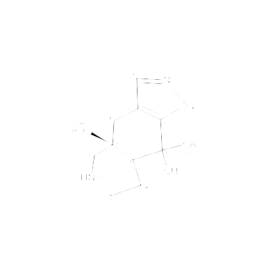 CC1(C)c2oncc2C[C@@]2(C)CNCCC12